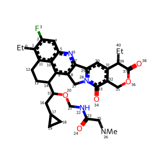 CCc1c(F)cc2nc3c(c4c2c1CCC4C(CC1CC1)OCNC(=O)CNC)Cn1c-3cc2c(c1=O)COC(=O)C2CC